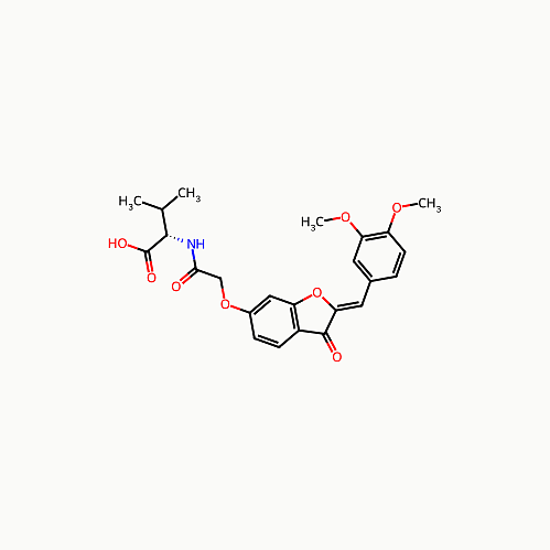 COc1ccc(/C=C2\Oc3cc(OCC(=O)N[C@H](C(=O)O)C(C)C)ccc3C2=O)cc1OC